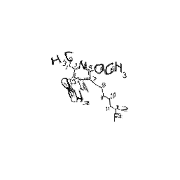 CCc1nc(OC)c(CCCCCF)cc1OC